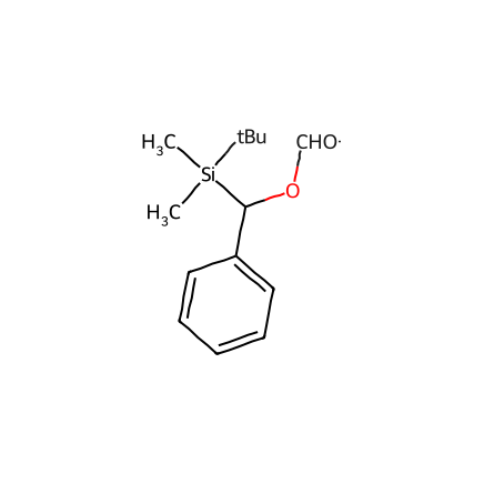 CC(C)(C)[Si](C)(C)C(O[C]=O)c1ccccc1